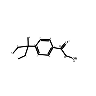 CCC(C)(CC)c1ccc(C(=O)CO)cc1